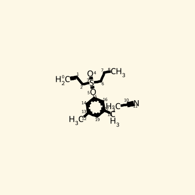 C=CCS(=O)(=O)CCC.CC#N.Cc1cccc(C)c1